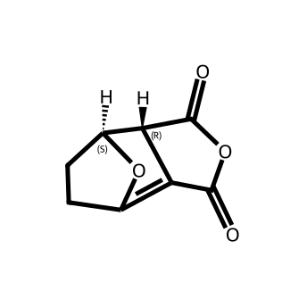 O=C1OC(=O)[C@@H]2C1=C1CC[C@@H]2O1